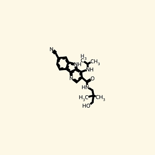 CC(C)Nc1c(C(=O)NCC(C)(C)CO)cnc2c1[nH]c1cc(C#N)ccc12